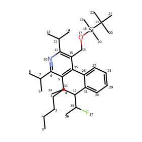 CCCCCc1c(C(C)C)nc(C(C)C)c(CO[Si](C)(C)C(C)(C)C)c1-c1ccccc1C(CC)C(C)F